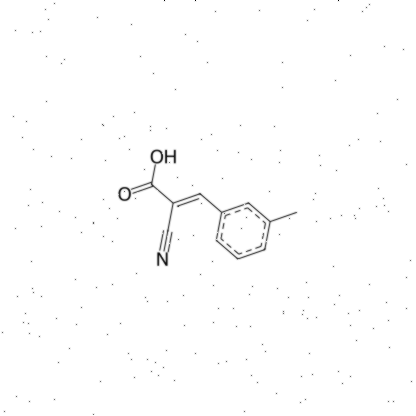 Cc1cccc(/C=C(\C#N)C(=O)O)c1